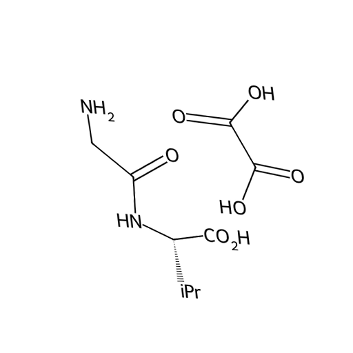 CC(C)[C@H](NC(=O)CN)C(=O)O.O=C(O)C(=O)O